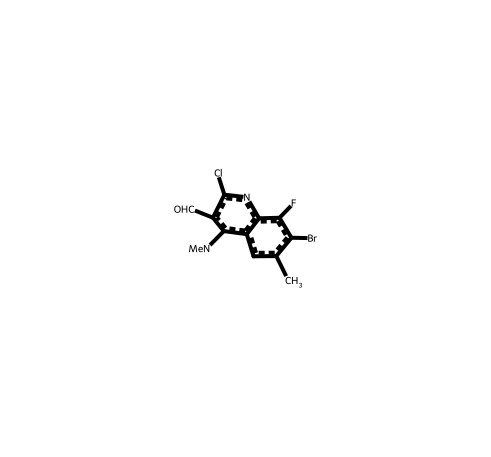 CNc1c(C=O)c(Cl)nc2c(F)c(Br)c(C)cc12